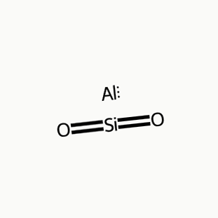 O=[Si]=O.[Al]